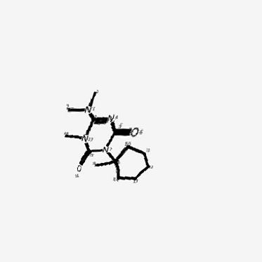 CN(C)c1nc(=O)n(C2(C)CCCCC2)c(=O)n1C